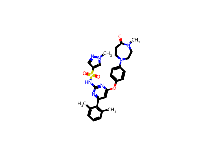 Cc1cccc(C)c1-c1cc(Oc2ccc(N3CCC(=O)N(C)CC3)cc2)nc(NS(=O)(=O)c2cnn(C)c2)n1